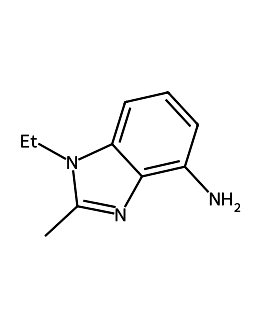 CCn1c(C)nc2c(N)cccc21